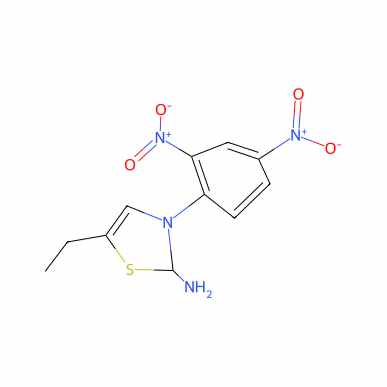 CCC1=CN(c2ccc([N+](=O)[O-])cc2[N+](=O)[O-])C(N)S1